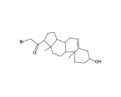 CC12CCC(O)CC1=CCC1C2CCC2(C)C(C(=O)CBr)CCC12